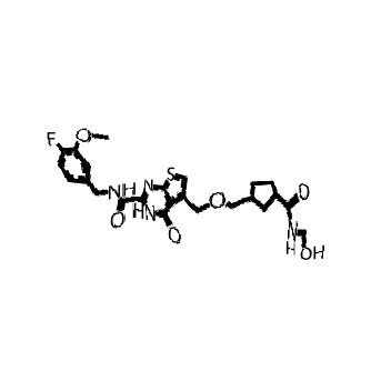 COc1cc(CNC(=O)c2nc3scc(COCC4CCC(C(=O)NCO)C4)c3c(=O)[nH]2)ccc1F